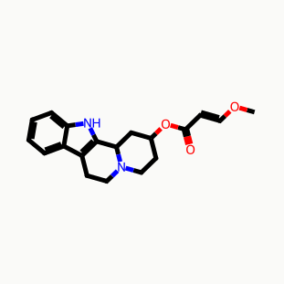 COC=CC(=O)OC1CCN2CCc3c([nH]c4ccccc34)C2C1